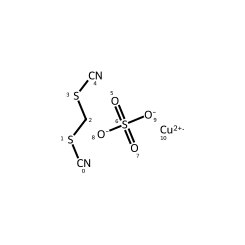 N#CSCSC#N.O=S(=O)([O-])[O-].[Cu+2]